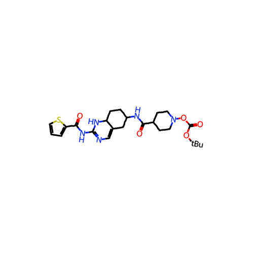 CC(C)(C)OC(=O)ON1CCC(C(=O)NC2CCC3NC(NC(=O)c4cccs4)=NC=C3C2)CC1